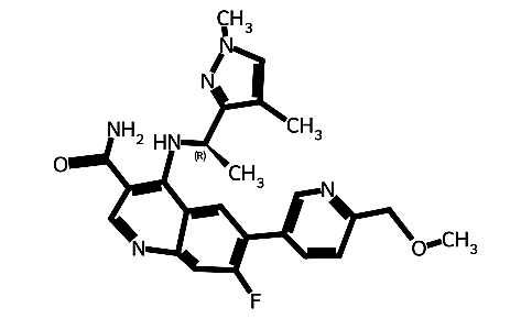 COCc1ccc(-c2cc3c(N[C@H](C)c4nn(C)cc4C)c(C(N)=O)cnc3cc2F)cn1